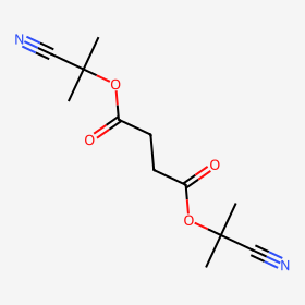 CC(C)(C#N)OC(=O)CCC(=O)OC(C)(C)C#N